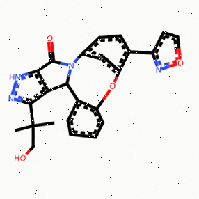 CC(C)(CO)c1n[nH]c2c1C1c3ccccc3Oc3cc(ccc3-c3ccon3)N1C2=O